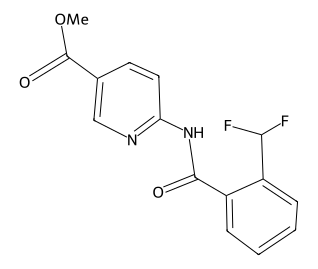 COC(=O)c1ccc(NC(=O)c2ccccc2C(F)F)nc1